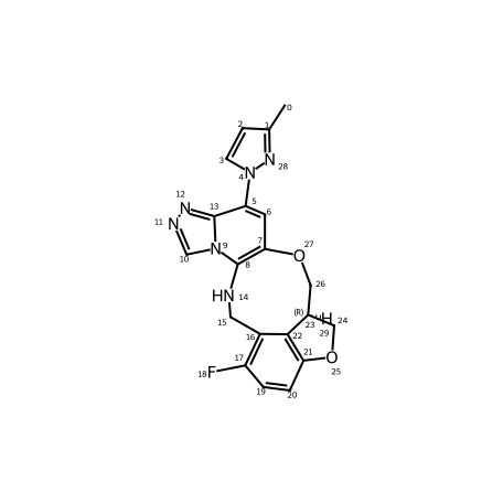 Cc1ccn(-c2cc3c(n4cnnc24)NCc2c(F)ccc4c2[C@H](CO4)CO3)n1